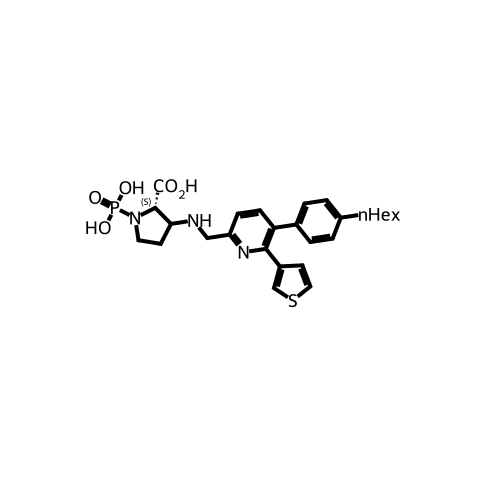 CCCCCCc1ccc(-c2ccc(CNC3CCN(P(=O)(O)O)[C@@H]3C(=O)O)nc2-c2ccsc2)cc1